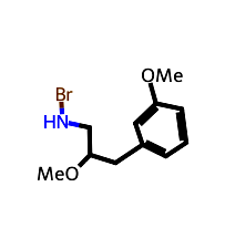 COc1cccc(CC(CNBr)OC)c1